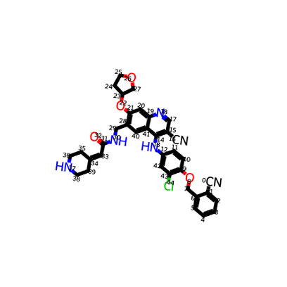 N#Cc1ccccc1COc1ccc(Nc2c(C#N)cnc3cc(OC4CCOC4)c(CNC(=O)C=C4CCNCC4)cc23)cc1Cl